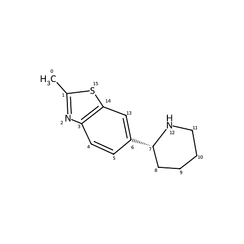 Cc1nc2ccc([C@H]3CCCCN3)cc2s1